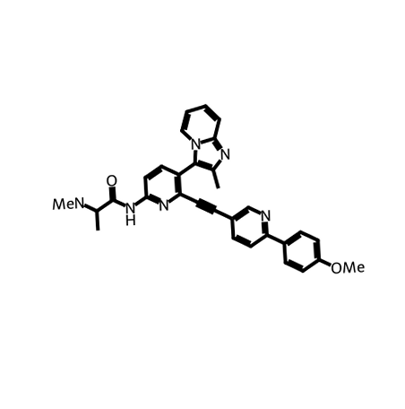 CNC(C)C(=O)Nc1ccc(-c2c(C)nc3ccccn23)c(C#Cc2ccc(-c3ccc(OC)cc3)nc2)n1